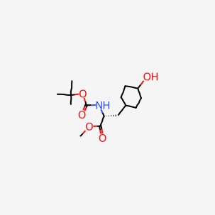 COC(=O)[C@@H](CC1CCC(O)CC1)NC(=O)OC(C)(C)C